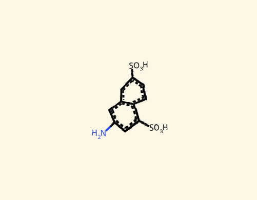 Nc1cc(S(=O)(=O)O)c2ccc(S(=O)(=O)O)cc2c1